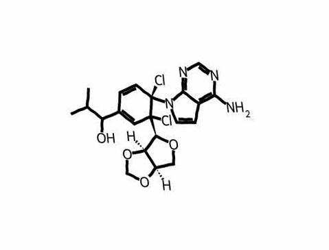 CC(C)C(O)C1=CC(Cl)([C@H]2OC[C@H]3OCO[C@H]32)[C@@](Cl)(n2ccc3c(N)ncnc32)C=C1